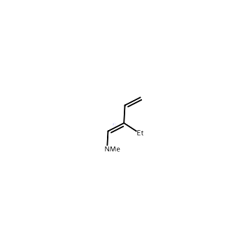 C=C/C(=C/NC)CC